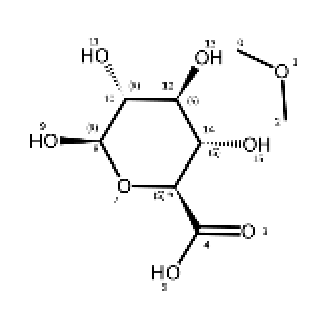 COC.O=C(O)[C@H]1O[C@@H](O)[C@H](O)[C@@H](O)[C@@H]1O